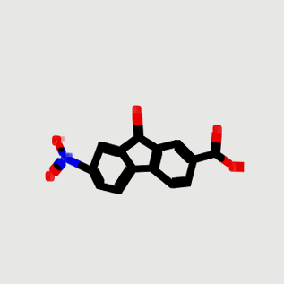 O=C(O)c1ccc2c(c1)C(=O)c1cc([N+](=O)[O-])ccc1-2